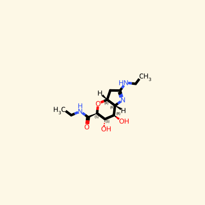 CCNC(=O)[C@H]1O[C@@H]2CC(NCC)=N[C@@H]2[C@@H](O)[C@@H]1O